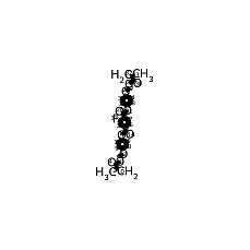 C=C(C)C(=O)OCOc1ccc(OC(=O)c2ccc(C(=O)Oc3ccc(OCOC(=O)C(=C)C)cc3)c(F)c2)cc1